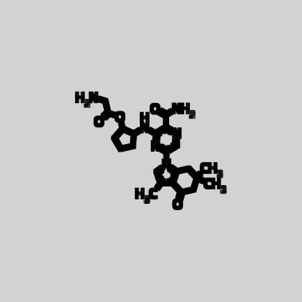 Cc1cn(-c2cnc(C(N)=O)c(NC3CCCC3OC(=O)CN)n2)c2c1C(=O)CC(C)(C)C2